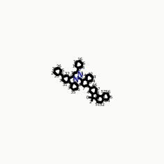 CC1(C)c2cc(-c3ccc(-c4nc(-c5ccccc5)cc(-c5cc(-c6ccccc6)ccc5-c5ccccc5)n4)c4ccccc34)ccc2-c2c1ccc1ccccc21